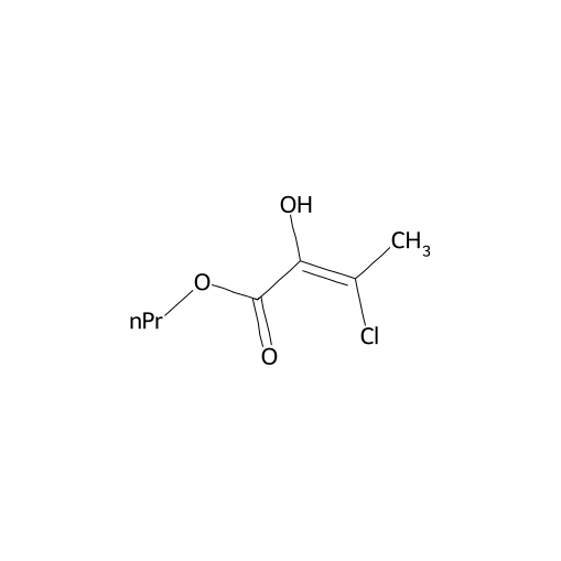 CCCOC(=O)C(O)=C(C)Cl